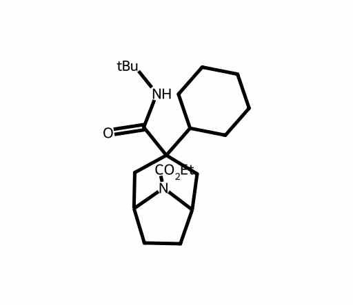 CCOC(=O)N1C2CCC1CC(C(=O)NC(C)(C)C)(C1CCCCC1)C2